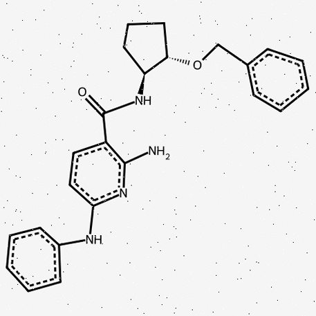 Nc1nc(Nc2ccccc2)ccc1C(=O)N[C@H]1CCC[C@@H]1OCc1ccccc1